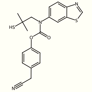 CC(C)(S)CN(C(=O)Oc1ccc(CC#N)cc1)c1ccc2ncsc2c1